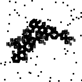 CC(C)(C)Nc1nc(-c2c(O)cccc2F)c(Cl)c2c1C(=O)N1CCN(C(C)(C)Nc3nc(-c4c(F)cccc4OC(=O)OC(C)(C)C)c(Cl)c4c3C(=O)N3CCN(C(=O)OC(C)(C)C)C[C@@H]3CO4)C[C@@H]1CO2